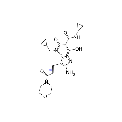 Nc1nn2c(O)c(C(=O)NC3CC3)c(=O)n(CC3CC3)c2c1/C=C/C(=O)N1CCOCC1